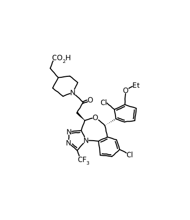 CCOc1cccc([C@H]2O[C@H](CC(=O)N3CCC(CC(=O)O)CC3)c3nnc(C(F)(F)F)n3-c3ccc(Cl)cc32)c1Cl